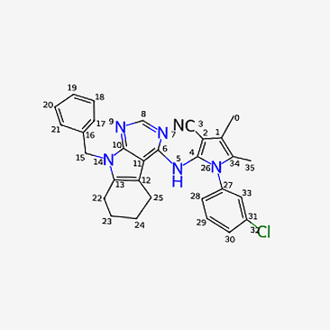 Cc1c(C#N)c(Nc2ncnc3c2c2c(n3Cc3ccccc3)CCCC2)n(-c2cccc(Cl)c2)c1C